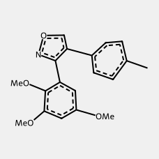 COc1cc(OC)c(OC)c(-c2nocc2-c2ccc(C)cc2)c1